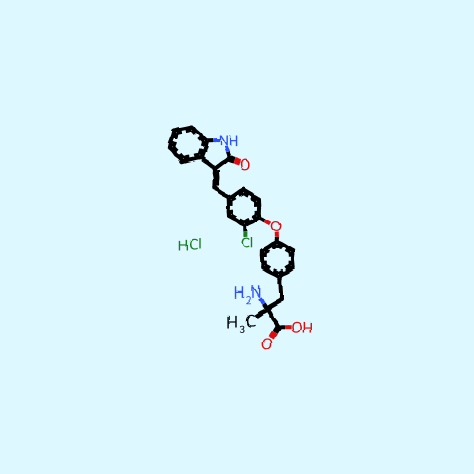 CC(N)(Cc1ccc(Oc2ccc(C=C3C(=O)Nc4ccccc43)cc2Cl)cc1)C(=O)O.Cl